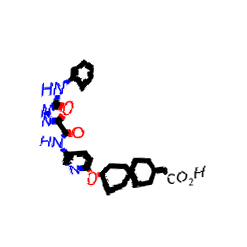 O=C(O)CC1CCC2(CC1)CCC(Oc1ccc(NC(=O)c3nnc(Nc4ccccc4)o3)cn1)CC2